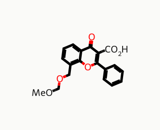 COCOCc1cccc2c(=O)c(C(=O)O)c(-c3ccccc3)oc12